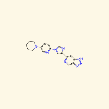 c1cc(-n2cnc(-c3cc4[nH]nnc4cn3)c2)ncc1N1CCCCC1